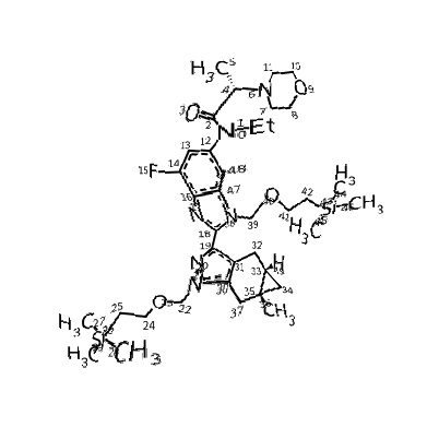 CCN(C(=O)[C@H](C)N1CCOCC1)c1cc(F)c2nc(-c3nn(COCC[Si](C)(C)C)c4c3C[C@@H]3C[C@]3(C)C4)n(COCC[Si](C)(C)C)c2c1